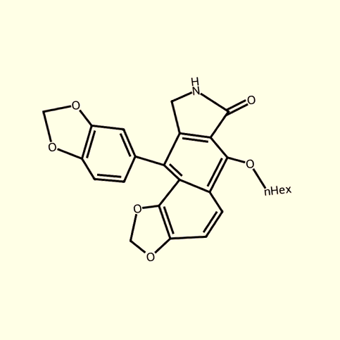 CCCCCCOc1c2c(c(-c3ccc4c(c3)OCO4)c3c4c(ccc13)OCO4)CNC2=O